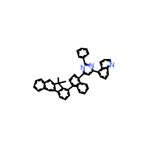 CC1(C)c2cc3ccccc3cc2-c2cccc(-c3ccc(-c4cc(-c5cccc6ncccc56)nc(-c5ccccc5)n4)c4ccccc34)c21